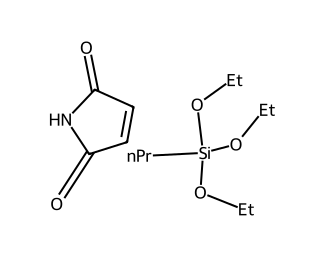 CCC[Si](OCC)(OCC)OCC.O=C1C=CC(=O)N1